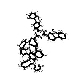 c1ccc(-c2cc(-c3nc(-c4ccc5c(c4)oc4ccccc45)nc(-c4ccc5c(c4)oc4ccccc45)n3)cc(-c3ccccc3)c2-n2c3ccccc3c3c4c5ccccc5n(-c5ccccc5)c4ccc32)cc1